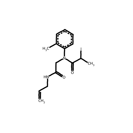 C=CCNC(=O)CN(C(=O)C(C)I)c1ccccc1C